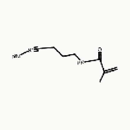 C=C(C)C(=O)NCCCC#[N+]CCCC